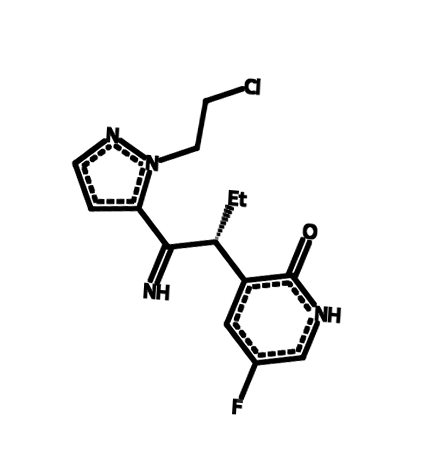 CC[C@@H](C(=N)c1ccnn1CCCl)c1cc(F)c[nH]c1=O